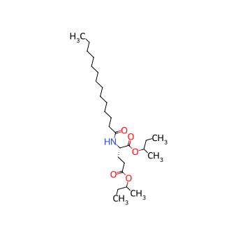 CCCCCCCCCCCCCC(=O)N[C@@H](CCC(=O)OC(C)CC)C(=O)OC(C)CC